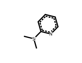 C[Si](C)c1ccccn1